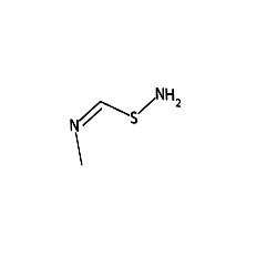 C/N=C\SN